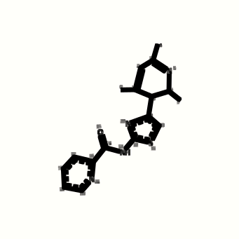 CC1=CC(C)=NC(C)C1c1csc(NC(=O)c2ccccn2)n1